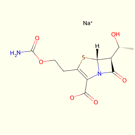 C[C@@H](O)[C@H]1C(=O)N2C(C(=O)[O-])=C(CCOC(N)=O)S[C@H]12.[Na+]